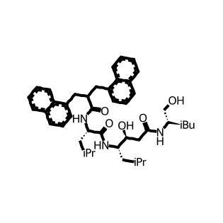 CC[C@H](C)[C@@H](CO)NC(=O)C[C@H](O)[C@H](CC(C)C)NC(=O)[C@H](CC(C)C)NC(=O)C(Cc1cccc2ccccc12)Cc1cccc2ccccc12